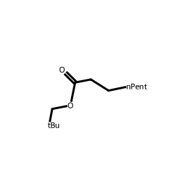 CCCCCCCC(=O)OCC(C)(C)C